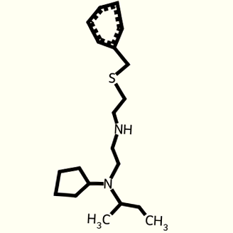 CCC(C)N(CCNCCSCc1ccccc1)C1CCCC1